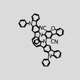 N#Cc1c(-n2c3ccccc3c3cc4c(cc32)c2ccccc2n4-c2ccccc2)c(-n2c3ccccc3c3cc4c(cc32)c2ccccc2n4-c2ccccc2)c(C#N)c2c1oc1ccccc12